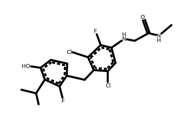 CNC(=O)CNc1cc(Cl)c(Cc2ccc(O)c(C(C)C)c2F)c(Cl)c1F